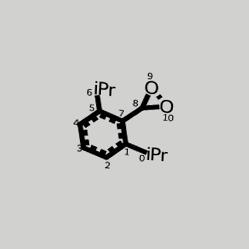 CC(C)c1cccc(C(C)C)c1C1OO1